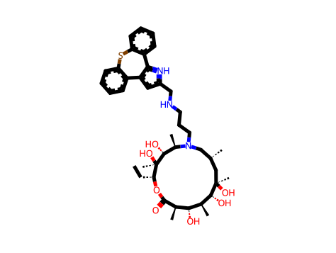 CC[C@H]1OC(=O)[C@H](C)[C@@H](O)[C@H](C)[C@@H](O)[C@](C)(O)C[C@@H](C)CN(CCCNCc2cc3c([nH]2)-c2ccccc2Sc2ccccc2-3)[C@H](C)[C@@H](O)[C@]1(C)O